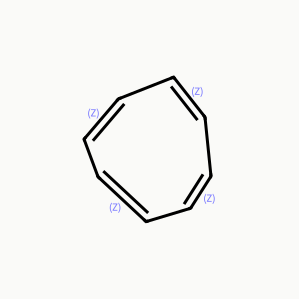 C1=C\C=C/C=C\C=C/1